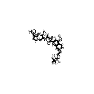 COC(=N)/C(CN1CCC(CO)C1)=N\C(C)NC(=O)c1cc(OC)c2c(n1)CN(CCO[Si](C)(C)C(C)(C)C)CC2